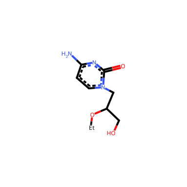 CCOC(CO)Cn1ccc(N)nc1=O